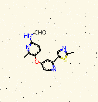 Cc1ncc(-c2cc(Oc3ccc(N[C]=O)nc3C)ccn2)s1